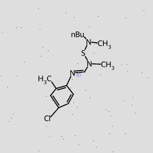 CCCCN(C)SN(C)/C=N/c1ccc(Cl)cc1C